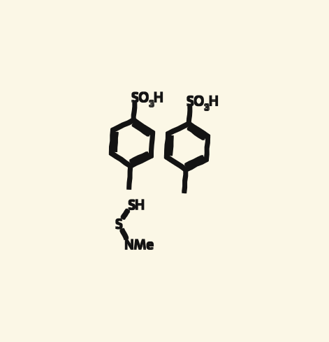 CNSS.Cc1ccc(S(=O)(=O)O)cc1.Cc1ccc(S(=O)(=O)O)cc1